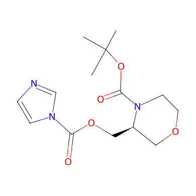 CC(C)(C)OC(=O)N1CCOC[C@H]1COC(=O)n1ccnc1